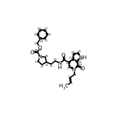 C/C=C/Cn1cc(C(=O)NCCC2CCN(C(=O)OCc3ccccc3)C2)c2cc[nH]c2c1=O